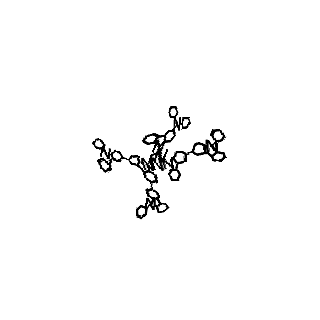 c1ccc(N(c2ccccc2)c2ccc3c(c2)c2ccccc2n3-c2cc(-n3c4ccc(-c5ccc6c(c5)c5ccccc5n6-c5ccccc5)cc4c4cc(-c5ccc6c(c5)c5ccccc5n6-c5ccccc5)ccc43)nc(-n3c4ccccc4c4cc(-c5ccc6c(c5)c5ccccc5n6-c5ccccc5)ccc43)n2)cc1